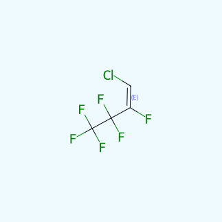 F/C(=C/Cl)C(F)(F)C(F)(F)F